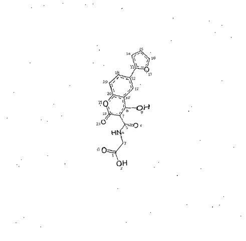 O=C(O)CNC(=O)c1c(O)c2cc(-c3ccco3)ccc2oc1=O